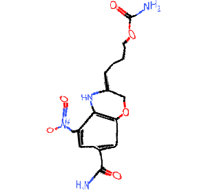 NC(=O)OCCCC1COc2cc(C(N)=O)cc([N+](=O)[O-])c2N1